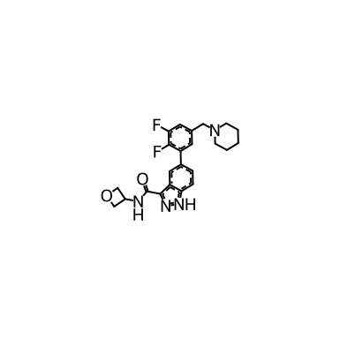 O=C(NC1COC1)c1n[nH]c2ccc(-c3cc(CN4CCCCC4)cc(F)c3F)cc12